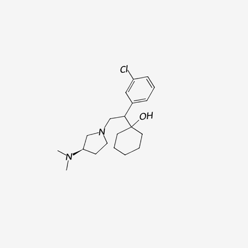 CN(C)[C@@H]1CCN(CC(c2cccc(Cl)c2)C2(O)CCCCC2)C1